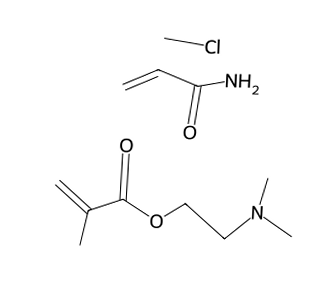 C=C(C)C(=O)OCCN(C)C.C=CC(N)=O.CCl